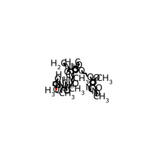 C=CNC(=O)c1cc(OC)c(OCCCOc2cc3c(cc2OC)C(=O)N(OC)CC=N3)cc1N(C)C(C)NC(=O)[C@H](C)NC(=O)[C@@H](NN1C(=O)CCC1=O)C(C)C